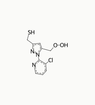 OOCc1cc(CS)nn1-c1ncccc1Cl